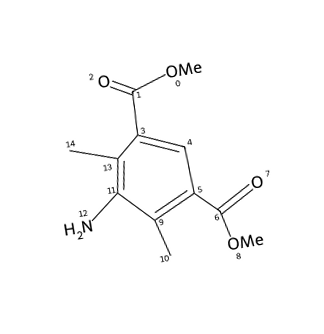 COC(=O)c1cc(C(=O)OC)c(C)c(N)c1C